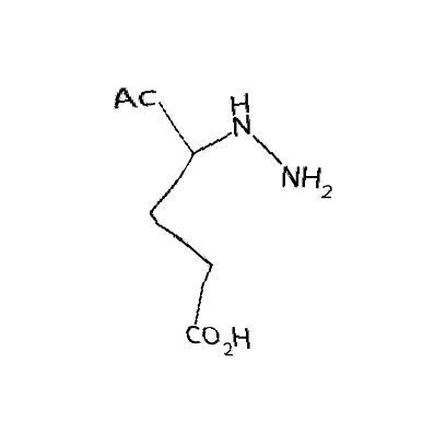 CC(=O)C(CCC(=O)O)NN